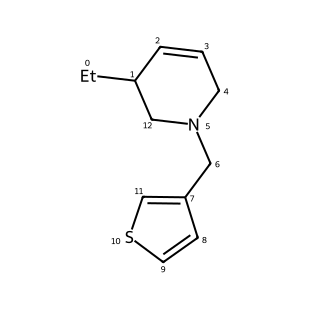 CCC1C=CCN(Cc2ccsc2)C1